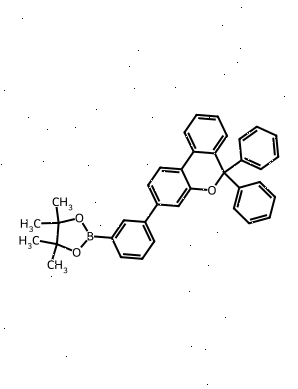 CC1(C)OB(c2cccc(-c3ccc4c(c3)OC(c3ccccc3)(c3ccccc3)c3ccccc3-4)c2)OC1(C)C